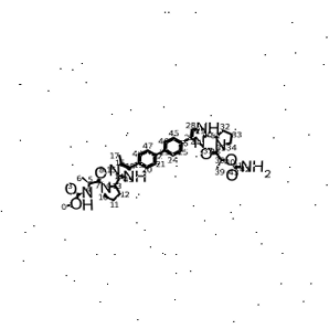 COC(=O)N[C@@H](C)C(=O)N1CCCC1c1nc(C)c(-c2ccc(-c3ccc(-c4c[nH]c([C@@H]5CCCN5C(=O)[C@H](C)OC(N)=O)n4)cc3)cc2)[nH]1